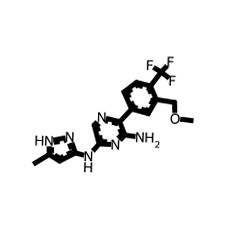 COCc1cc(-c2ncc(Nc3cc(C)[nH]n3)nc2N)ccc1C(F)(F)F